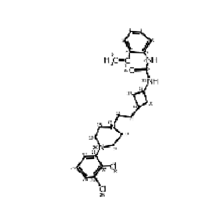 COc1ccccc1NC(=O)NC1CC(CCN2CCN(c3cccc(Cl)c3Cl)CC2)C1